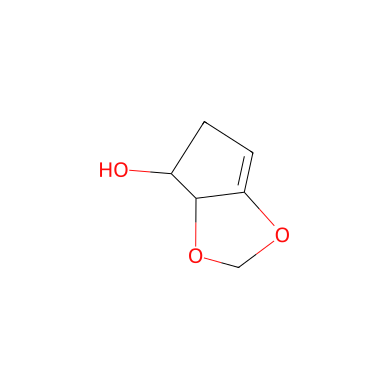 OC1CC=C2OCOC21